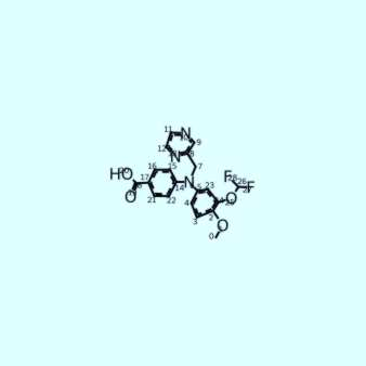 COc1ccc(N(Cc2cnccn2)c2ccc(C(=O)O)cc2)cc1OC(F)F